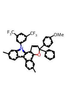 COc1ccc(C2(c3ccccc3)C=Cc3c(c4cc(C)ccc4c4c5ccc(C)cc5n(-c5cc(C(F)(F)F)cc(C(F)(F)F)c5)c34)O2)cc1